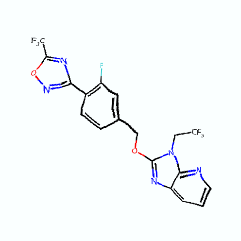 Fc1cc(COc2nc3cccnc3n2CC(F)(F)F)ccc1-c1noc(C(F)(F)F)n1